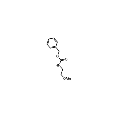 COCCNC(=O)OCc1ccccc1